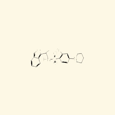 CC(NS(=O)(=O)c1ccc(N2CCCCC2)cc1Br)c1occ2ccccc12